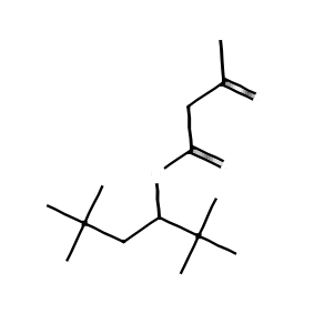 CC(=O)CC(=O)OC(CC(C)(C)C)C(C)(C)C